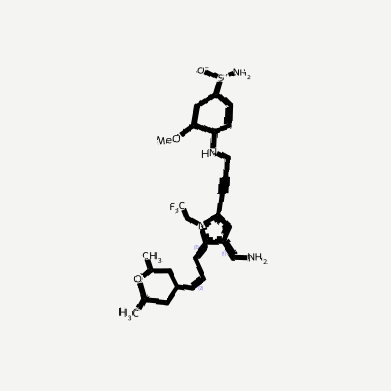 COC1CC([S+](N)[O-])C=CC1NCC#Cc1cc(=C\N)/c(=C\C=C/C2CC(C)OC(C)C2)n1CC(F)(F)F